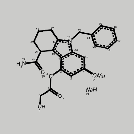 COc1cc(OC(=O)CO)c2c3c(n(Cc4ccccc4)c2c1)CCCC3C(N)=O.[NaH]